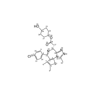 Cc1sc2c(c1C)C(c1ccc(Cl)cc1)=N[C@H](CC(=O)OC1CCC(O)CC1)c1nnc(C)n1-2